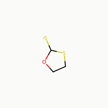 [S]C1OCCS1